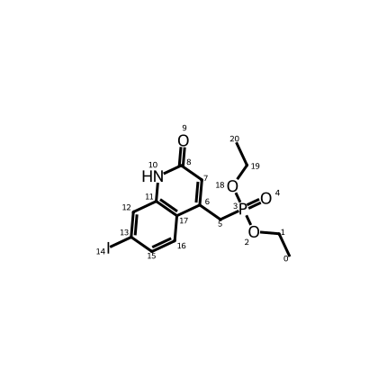 CCOP(=O)(Cc1cc(=O)[nH]c2cc(I)ccc12)OCC